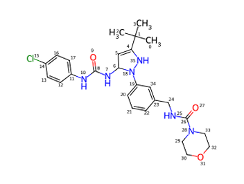 CC(C)(C)C1=CC(NC(=O)Nc2ccc(Cl)cc2)N(c2cccc(CNC(=O)N3CCOCC3)c2)N1